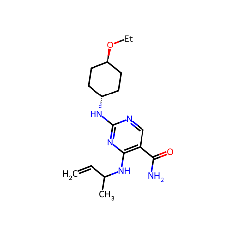 C=CC(C)Nc1nc(N[C@H]2CC[C@H](OCC)CC2)ncc1C(N)=O